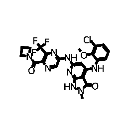 COc1c(Cl)cccc1Nc1cc(Nc2cnc(C(=O)N3CCC3)c(C(F)(F)F)n2)nc2[nH]n(C)c(=O)c12